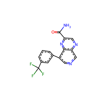 NC(=O)c1cnc2cncc(-c3cccc(C(F)(F)F)c3)c2n1